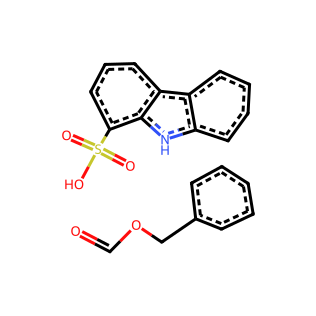 O=COCc1ccccc1.O=S(=O)(O)c1cccc2c1[nH]c1ccccc12